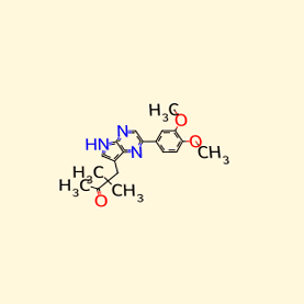 COc1ccc(-c2cnc3[nH]cc(CC(C)(C)C(C)=O)c3n2)cc1OC